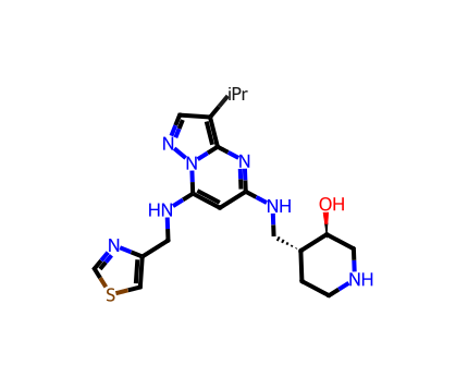 CC(C)c1cnn2c(NCc3cscn3)cc(NC[C@H]3CCNC[C@@H]3O)nc12